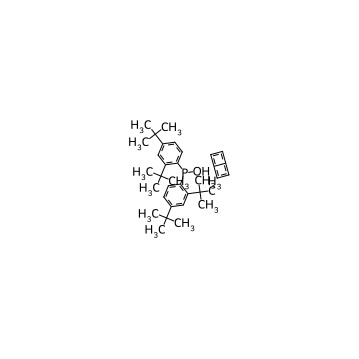 CC(C)(C)c1ccc(P(O)c2ccc(C(C)(C)C)cc2C(C)(C)C)c(C(C)(C)C)c1.c1cc2ccc1-2